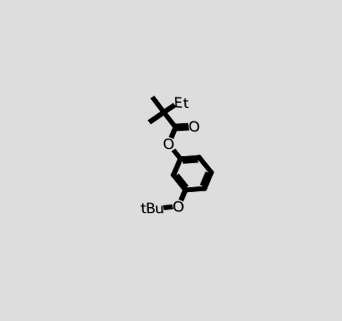 CCC(C)(C)C(=O)Oc1cccc(OC(C)(C)C)c1